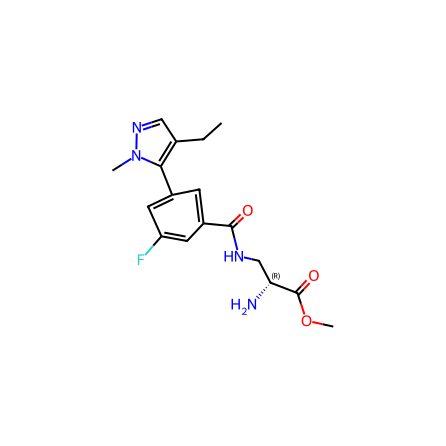 CCc1cnn(C)c1-c1cc(F)cc(C(=O)NC[C@@H](N)C(=O)OC)c1